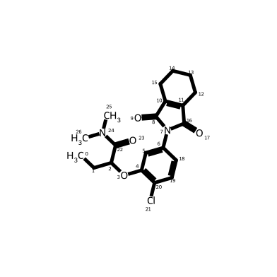 CCC(Oc1cc(N2C(=O)C3=C(CCCC3)C2=O)ccc1Cl)C(=O)N(C)C